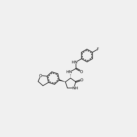 O=C(Nc1ccc(F)cc1)N[C@@H]1C(=O)NC[C@H]1c1ccc2c(c1)CCO2